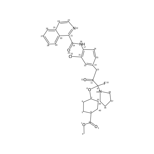 COC(=O)C1CCC(OC(F)(C(=O)Cc2ccc(NC(=O)c3nccc4ccccc34)c(Cl)c2)N2CCCC2)CC1